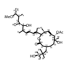 CC[C@H](OC)[C@@H](C)[C@H]1O[C@@H]1C(O)C(C)/C=C/C=C(\C)C1OC(=O)C[C@H](CC(C)(C)[Si](C)(C)O)CC[C@@](C)(O)[C@@H](OC(C)=O)/C=C/[C@@H]1C